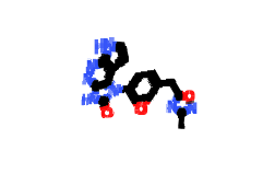 Cc1noc(CC2=CC=C(n3c(=O)[nH]c4nnc5[nH]ccc5c43)C3OC23)n1